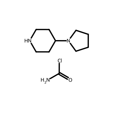 C1CCN(C2CCNCC2)C1.NC(=O)Cl